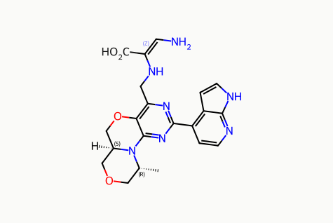 C[C@@H]1COC[C@H]2COc3c(CN/C(=C\N)C(=O)O)nc(-c4ccnc5[nH]ccc45)nc3N21